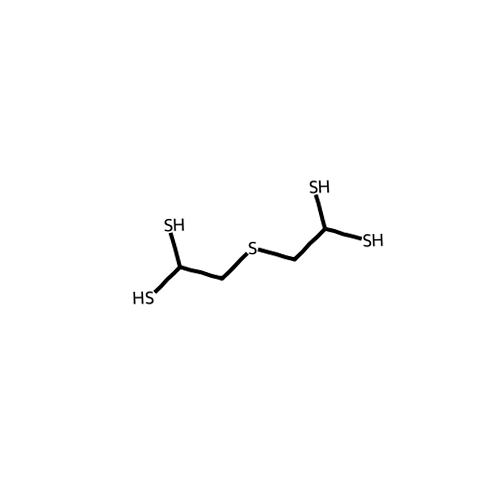 SC(S)CSCC(S)S